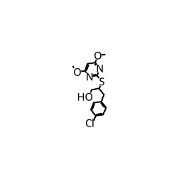 COc1cc(OC)nc(SC(CO)Cc2ccc(Cl)cc2)n1